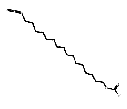 O=C=NCCCCCCCCCCCCCCCCNC(=S)S